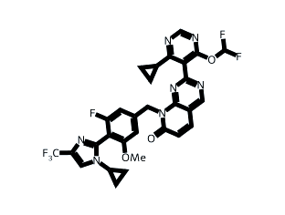 COc1cc(Cn2c(=O)ccc3cnc(-c4c(OC(F)F)ncnc4C4CC4)nc32)cc(F)c1-c1nc(C(F)(F)F)cn1C1CC1